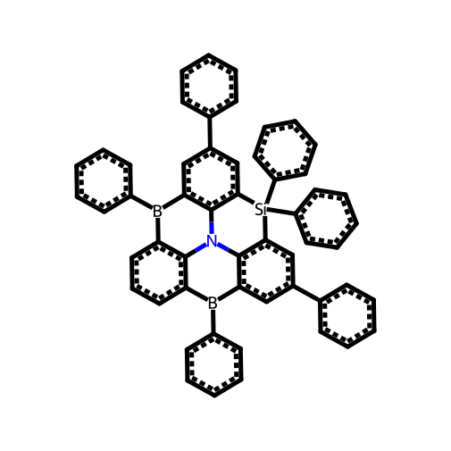 c1ccc(B2c3cccc4c3N3c5c2cc(-c2ccccc2)cc5[Si](c2ccccc2)(c2ccccc2)c2cc(-c5ccccc5)cc(c23)B4c2ccccc2)cc1